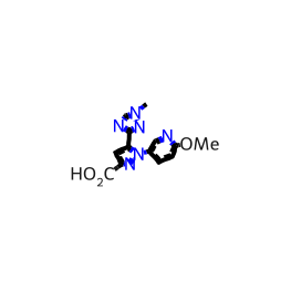 COc1ccc(-n2nc(C(=O)O)cc2-c2ncn(C)n2)cn1